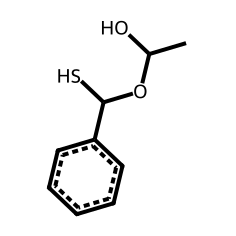 CC(O)OC(S)c1ccccc1